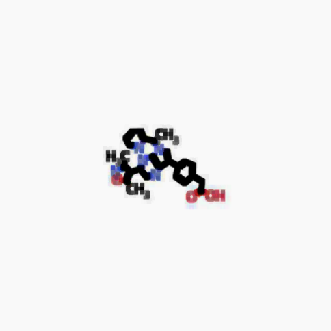 Cc1noc(C)c1-c1cnc2c(-c3ccc(CC(=O)O)cc3)cn([C@@H](C)c3ccccn3)c2n1